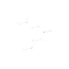 N=C(NNC(N)=O)NNC(N)=O